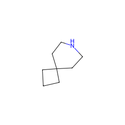 C1CC2(C1)CCNCC2